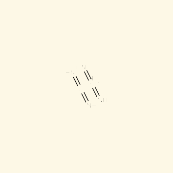 N=C=N.N=C=N.O